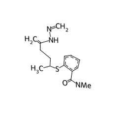 C=NNC(=C)CCC(C)Sc1ccccc1C(=O)NC